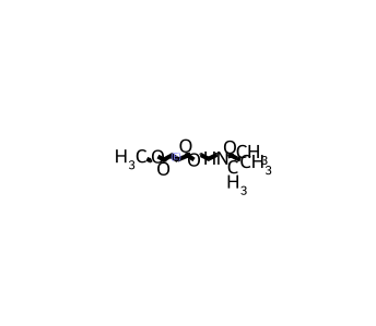 CCOC(=O)/C=C/C(=O)OCCCNC(=O)C(C)(C)C